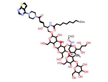 CCCCCCCCCCCCCCCCCC(=O)N[C@@H](COC1OC(CO)C(OC2OC(CO)C(OC3OC(CO)C(O)C(OC4OC(CO)C(O)C(O)C4O)C3C)C(OC3(NOC=O)CC(O)C(C)C([C@H](O)[C@H](O)CO)O3)C2O)C(O)C1O)[C@H](O)/C=C/C(=O)N1CCN(c2ncnc3sccc23)CC1